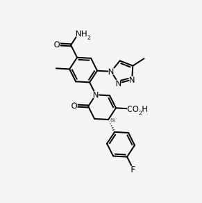 Cc1cn(-c2cc(C(N)=O)c(C)cc2N2C=C(C(=O)O)[C@H](c3ccc(F)cc3)CC2=O)nn1